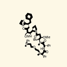 CC[C@H](C)[C@@H]([C@@H](CC(=O)N1CCC[C@H]1[C@H](OC)[C@@H](C)C(=O)C[C@@H](Cc1ccccc1)c1nccs1)OC)N(C)C(=O)[C@@H](NC(=O)[C@H](C(C)C)N(C)CCOCCN(C)C(C)C)C(C)C